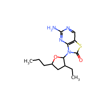 CCCC1CC(CC)C(n2c(=O)sc3cnc(N)nc32)O1